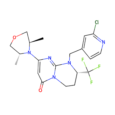 C[C@@H]1COC[C@@H](C)N1c1cc(=O)n2c(n1)N(Cc1ccnc(Cl)c1)[C@H](C(F)(F)F)CC2